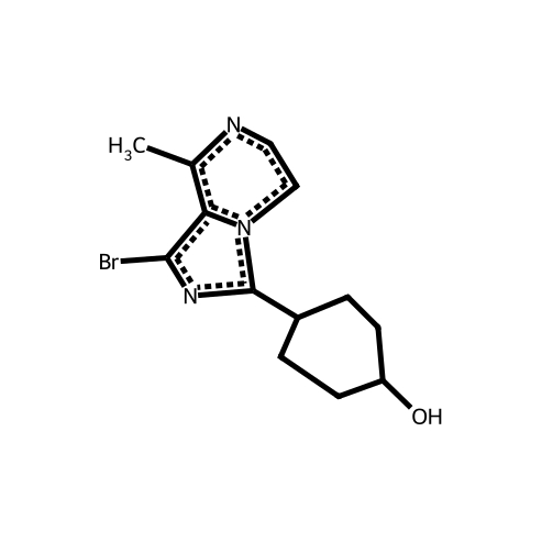 Cc1nccn2c(C3CCC(O)CC3)nc(Br)c12